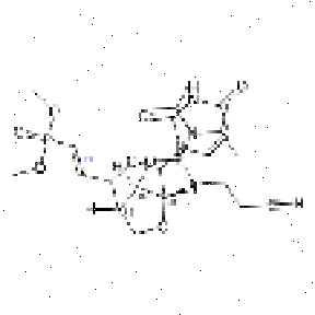 COP(=O)(/C=C/C1OC(n2ccc(=O)[nH]c2=O)[C@@H]2OC[C@H]1[C@H]2OP(OCCC#N)N(C(C)C)C(C)C)OC